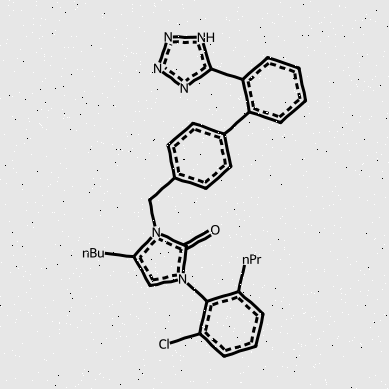 CCCCc1cn(-c2c(Cl)cccc2CCC)c(=O)n1Cc1ccc(-c2ccccc2-c2nnn[nH]2)cc1